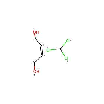 ClC(Cl)Cl.OC/C=C\CO